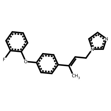 CC(=CCn1ccnc1)c1ccc(Oc2ccccc2F)cc1